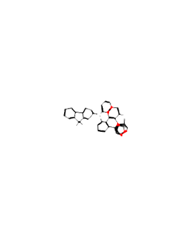 CC1(C)c2ccccc2-c2ccc(N(c3ccccc3)c3cccc(-c4ccccc4)c3-c3cccc4sc5ccccc5c34)cc21